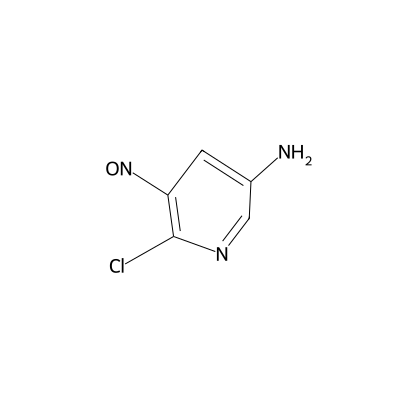 Nc1cnc(Cl)c(N=O)c1